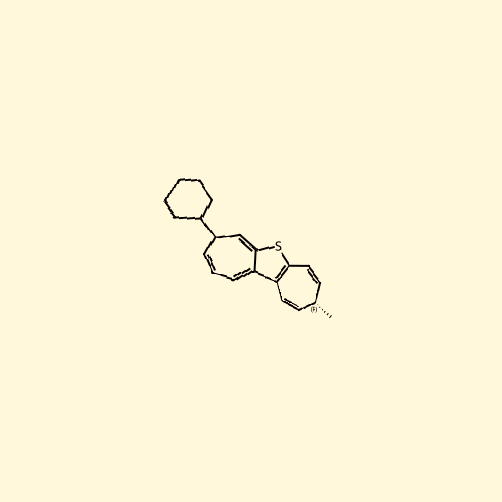 C[C@H]1C=Cc2sc3c(c2C=C1)=CC=CC(C1CCCCC1)C=3